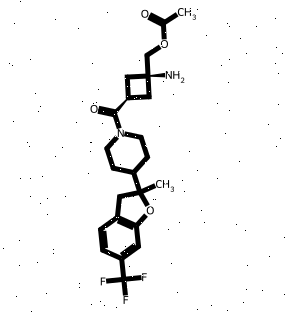 CC(=O)OC[C@]1(N)C[C@@H](C(=O)N2CCC(C3(C)Cc4ccc(C(F)(F)F)cc4O3)CC2)C1